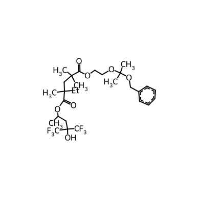 CCC(C)(CC(C)(C)C(=O)OCCOC(C)(C)OCc1ccccc1)C(=O)OC(C)CC(O)(C(F)(F)F)C(F)(F)F